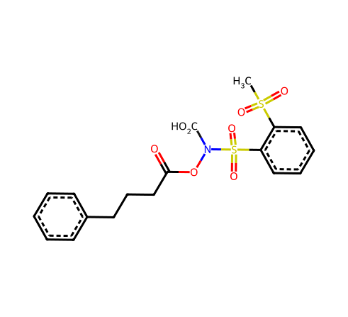 CS(=O)(=O)c1ccccc1S(=O)(=O)N(OC(=O)CCCc1ccccc1)C(=O)O